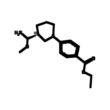 CCOC(=O)c1ccc(N2CCC[C@@H](C(N)OC)C2)cc1